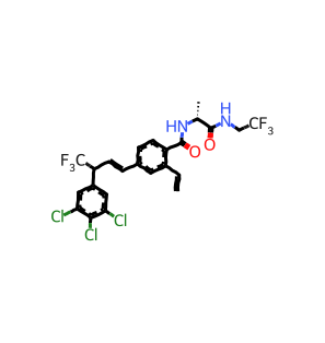 C=Cc1cc(/C=C/C(c2cc(Cl)c(Cl)c(Cl)c2)C(F)(F)F)ccc1C(=O)N[C@H](C)C(=O)NCC(F)(F)F